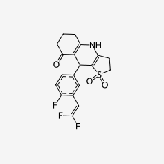 O=C1CCCC2=C1C(c1ccc(F)c(C=C(F)F)c1)C1=C(CCS1(=O)=O)N2